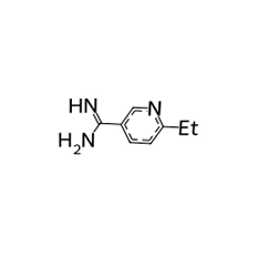 CCc1ccc(C(=N)N)cn1